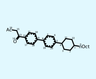 CCCCCCCCC1CCC(c2ccc(-c3ccc(C(=O)CC(C)=O)cc3)cc2)CC1